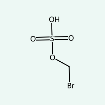 O=S(=O)(O)OCBr